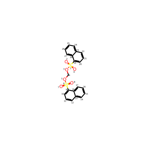 O=S(=O)(OCOS(=O)(=O)c1cccc2ccccc12)c1cccc2ccccc12